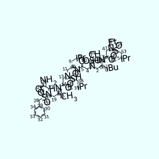 CCC(C)[C@@H](CN(CC(=O)N[C@@H](CC(C)C)CN(CC(=O)N[C@@H](C)CN(CC(N)=O)S(=O)(=O)Cc1ccccc1)S(=O)(=O)CC(C)C)S(C)(=O)=O)NC(=O)CN(CC)S(=O)(=O)CC(C)C